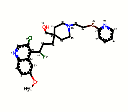 COc1ccc2ncc(Cl)c([C@H](F)CCC3(CO)CCN(CCSc4ccccn4)CC3)c2c1